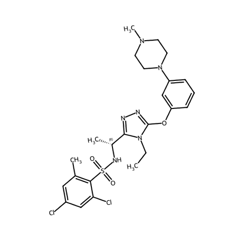 CCn1c(Oc2cccc(N3CCN(C)CC3)c2)nnc1[C@@H](C)NS(=O)(=O)c1c(C)cc(Cl)cc1Cl